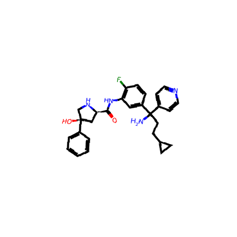 NC(CCC1CC1)(c1ccncc1)c1ccc(F)c(NC(=O)[C@H]2C[C@](O)(c3ccccc3)CN2)c1